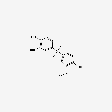 CC(C)Cc1cc(C(C)(C)c2ccc(O)c(C(C)(C)C)c2)ccc1O